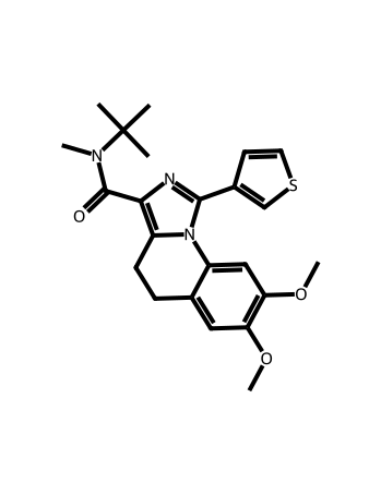 COc1cc2c(cc1OC)-n1c(-c3ccsc3)nc(C(=O)N(C)C(C)(C)C)c1CC2